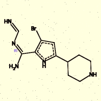 N=C/N=C(/N)c1[nH]c(C2CCNCC2)cc1Br